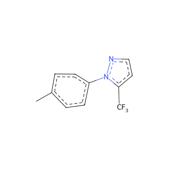 Cc1ccc(-n2nccc2C(F)(F)F)cc1